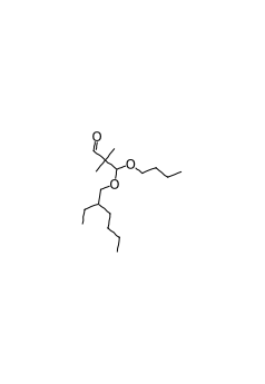 CCCCOC(OCC(CC)CCCC)C(C)(C)C=O